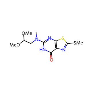 COC(CN(C)c1nc2sc(SC)nc2c(=O)[nH]1)OC